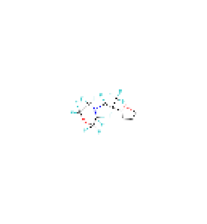 FC(N1C(F)(F)C(F)(F)OC(F)(F)C1(F)F)C(F)(C1CCCO1)C(F)(F)F